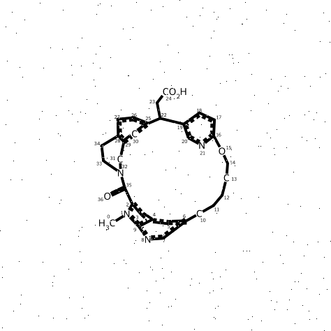 Cn1c2cc3cc(cnc31)CCCCCOc1ccc(cn1)C(CC(=O)O)c1ccc3c(c1)CN(CC3)C2=O